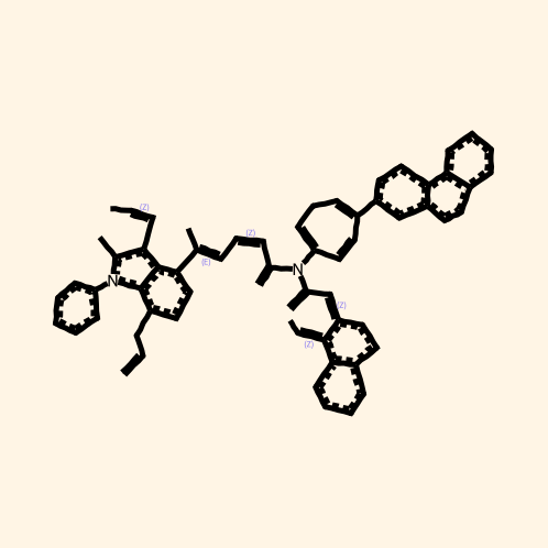 C=CCc1ccc(/C(C)=C/C=C\C(=C)N(C(=C)/C=c2/ccc3ccccc3/c2=C/C)C2=CCC=C(c3ccc4c(ccc5ccccc54)c3)C=C2)c2c(/C=C\C)c(C)n(-c3ccccc3)c12